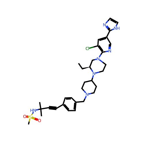 CC[C@H]1CN(c2ncc(-c3ncc[nH]3)cc2Cl)CCN1C1CCN(Cc2ccc(C#CC(C)(C)NS(C)(=O)=O)cc2)CC1